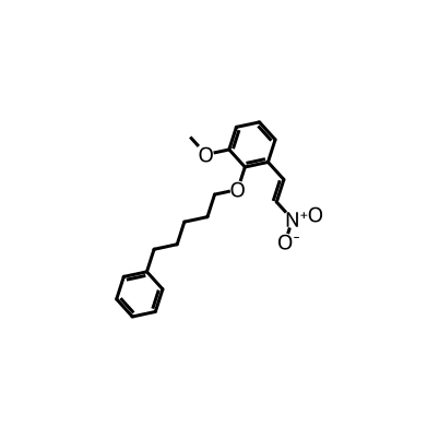 COc1cccc(C=C[N+](=O)[O-])c1OCCCCCc1ccccc1